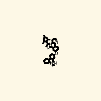 Cc1cc(C)c(-c2cnc3c4cc(Oc5ccc6c7ccccc7n7ccnc7c6c5)ccc4c4ncccc4n23)c(C)c1